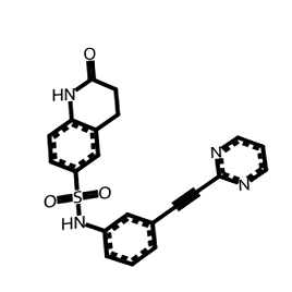 O=C1CCc2cc(S(=O)(=O)Nc3cccc(C#Cc4ncccn4)c3)ccc2N1